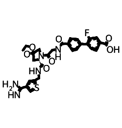 N=C(N)c1csc(CNC(=O)[C@@H]2CC3(CN2C(=O)CNC(=O)c2ccc(-c4ccc(C(=O)O)cc4F)cc2)OCCO3)c1